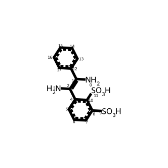 NC(=C(N)c1cccc(S(=O)(=O)O)c1S(=O)(=O)O)c1ccccc1